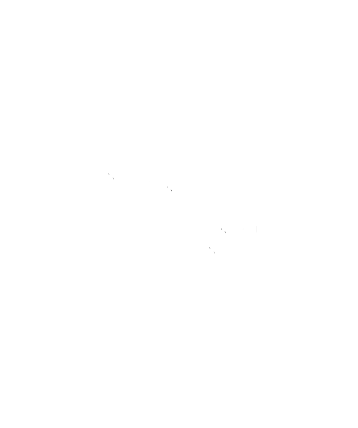 Cn1cc(-c2ncc(N)c3ccccc23)cn1